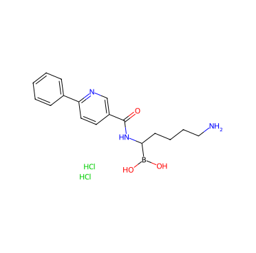 Cl.Cl.NCCCCC(NC(=O)c1ccc(-c2ccccc2)nc1)B(O)O